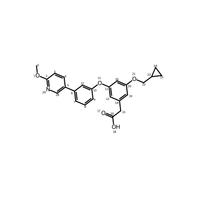 COc1ccc(-c2cccc(Oc3cc(CC(=O)O)cc(OCC4CC4)c3)c2)cn1